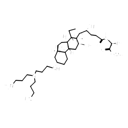 COC(=O)[C@@H](NC(=O)CC[C@@H](C)[C@H]1CC[C@H]2[C@@H]3CC[C@@H]4C[C@@H](NCCCN(CCCN)CCCN)CC[C@]4(C)[C@H]3C[C@H](O)[C@]12C)C(C)C